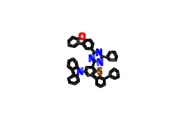 c1ccc(-c2nc(-c3ccc4oc5ccccc5c4c3)nc(-c3cc(-n4c5ccccc5c5ccccc54)cc4c3sc3c(-c5ccccc5)cccc34)n2)cc1